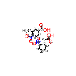 Cc1cc(C(=O)O)ccc1[N+](=O)[O-].O=C(O)Cc1ccccc1[N+](=O)[O-]